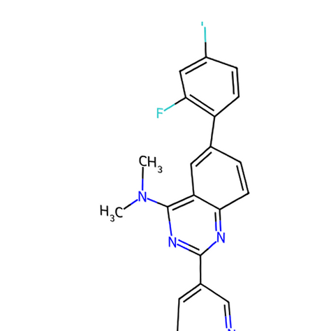 CN(C)c1nc(-c2cccnc2)nc2ccc(-c3ccc(F)cc3F)cc12